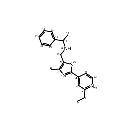 CCc1cc(-c2nc(C)c(CNC(C)c3ccccc3)s2)ccn1